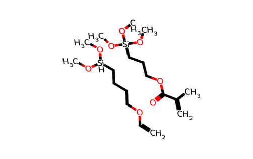 C=C(C)C(=O)OCCC[Si](OC)(OC)OC.C=COCCCC[SiH](OC)OC